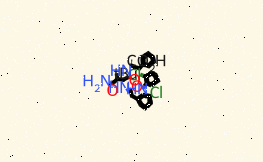 CC(C)(C)C(C(N)=O)[C@H](NC(=O)Cc1ccccc1Nc1c(Cl)cccc1Cl)C(=O)N[C@@H](Cc1ccccc1)C(=O)O